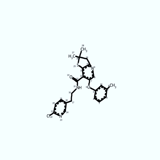 Cc1cccc(Oc2cnc3c(c2C(=O)NCCc2ccc(Cl)nc2)SC(C)(C)C3)c1